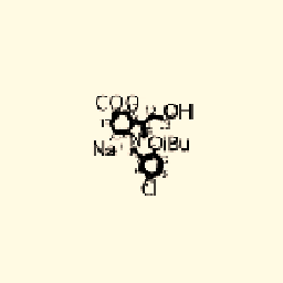 CC(C)COc1ccc(Cl)cc1Cn1cc(CCO)c2c(C(=O)[O-])cccc21.[Na+]